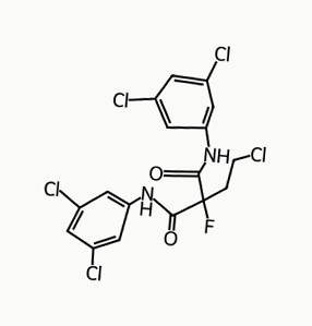 O=C(Nc1cc(Cl)cc(Cl)c1)C(F)(CCCl)C(=O)Nc1cc(Cl)cc(Cl)c1